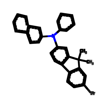 CC(C)c1ccc2c(c1)C(C)(C)c1cc(N(c3ccccc3)c3ccc4ccccc4c3)ccc1-2